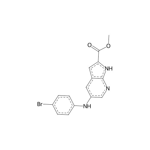 COC(=O)c1cc2cc(Nc3ccc(Br)cc3)cnc2[nH]1